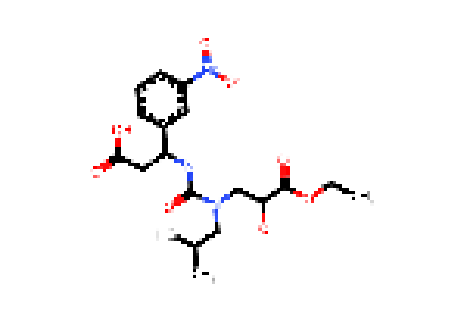 CCOC(=O)C(O)CN(CC(C)C)C(=O)NC(CC(=O)O)c1cccc([N+](=O)[O-])c1